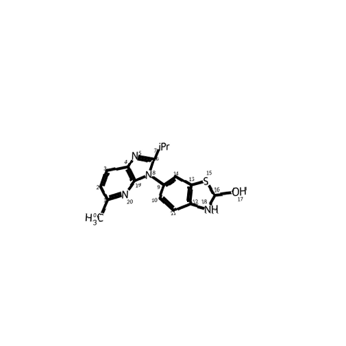 Cc1ccc2nc(C(C)C)n(-c3ccc4c(c3)SC(O)N4)c2n1